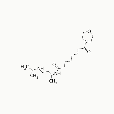 CC(C)NCCC(C)NC(=O)CCCCCCC(=O)N1CCOCC1